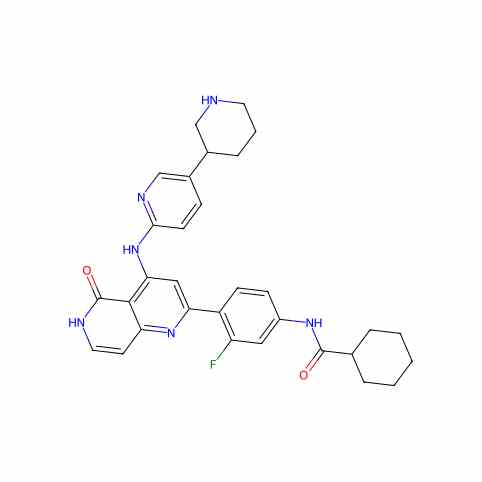 O=C(Nc1ccc(-c2cc(Nc3ccc(C4CCCNC4)cn3)c3c(=O)[nH]ccc3n2)c(F)c1)C1CCCCC1